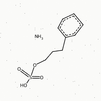 N.O=S(=O)(O)OCCCc1ccccc1